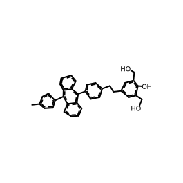 Cc1ccc(-c2c3ccccc3c(-c3ccc(CCc4cc(CO)c(O)c(CO)c4)cc3)c3ccccc23)cc1